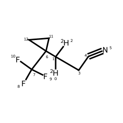 [2H]C([2H])(CC#N)C1(C(F)(F)F)CC1